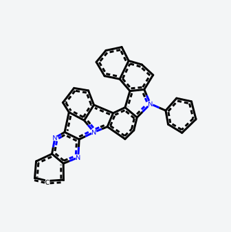 c1ccc(-n2c3ccc4ccccc4c3c3c4c5cccc6c7nc8ccccc8nc7n(c4ccc32)c65)cc1